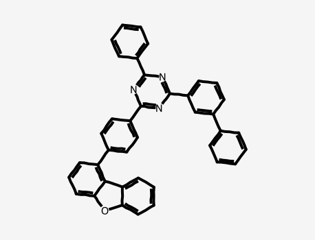 c1ccc(-c2cccc(-c3nc(-c4ccccc4)nc(-c4ccc(-c5cccc6oc7ccccc7c56)cc4)n3)c2)cc1